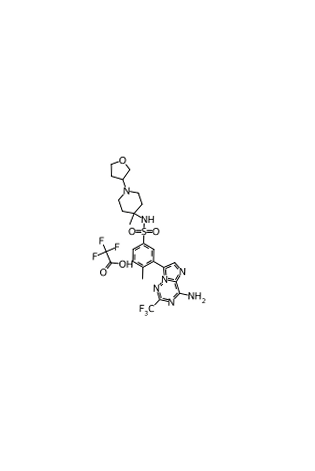 Cc1ccc(S(=O)(=O)NC2(C)CCN(C3CCOC3)CC2)cc1-c1cnc2c(N)nc(C(F)(F)F)nn12.O=C(O)C(F)(F)F